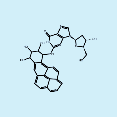 O=c1[nH]c(NC2c3c(cc4ccc5cccc6ccc3c4c56)C(O)C(O)C2O)nc2c1ncn2[C@H]1C[C@H](O)[C@@H](CO)O1